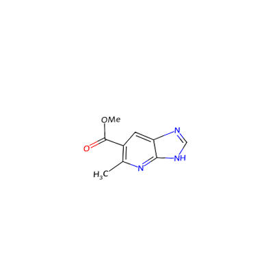 COC(=O)c1cc2nc[nH]c2nc1C